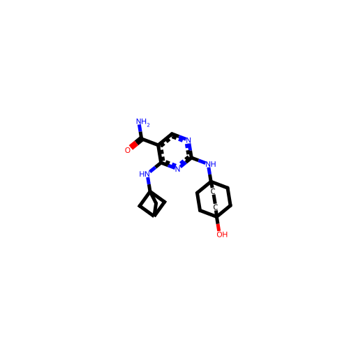 NC(=O)c1cnc(NC23CCC(O)(CC2)CC3)nc1NC12CC(C1)C2